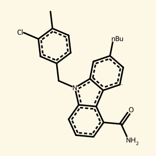 CCCCc1c[c]c2c3c(C(N)=O)cccc3n(Cc3ccc(C)c(Cl)c3)c2c1